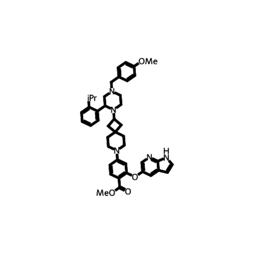 COC(=O)c1ccc(N2CCC3(CC2)CC(N2CCN(Cc4ccc(OC)cc4)CC2c2ccccc2C(C)C)C3)cc1Oc1cnc2[nH]ccc2c1